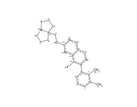 Cc1cccc(-c2ncc3cnc(OCC45CCCN4CCC5)nc3c2F)c1C